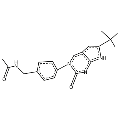 CC(=O)NCc1ccc(-n2cc3cc(C(C)(C)C)[nH]c3nc2=O)cc1